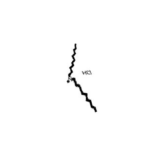 CCCCCCCCCCCN(C)CCCCCCCCCC.Cl